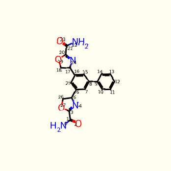 NC(=O)C1=NC(c2cc(-c3ccccc3)cc(C3COC(C(N)=O)=N3)c2)CO1